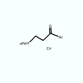 CCCCCCCC(=O)C(C)=O.[Co]